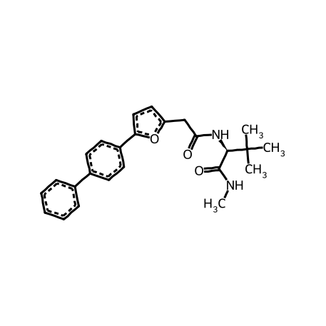 CNC(=O)[C@@H](NC(=O)Cc1ccc(-c2ccc(-c3ccccc3)cc2)o1)C(C)(C)C